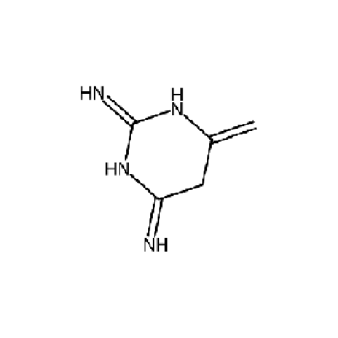 C=C1CC(=N)NC(=N)N1